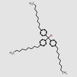 CCCCCCCCCc1ccc(C(Br)(c2ccc(CCCCCCCCC)cc2)c2ccc(CCCCCCCCC)cc2)cc1